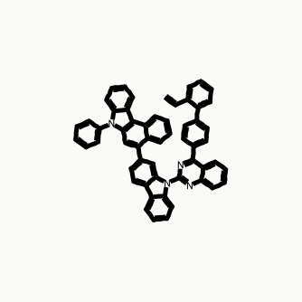 C=Cc1ccccc1-c1ccc(-c2nc(-n3c4ccccc4c4ccc(-c5cc6c(c7ccccc57)c5ccccc5n6-c5ccccc5)cc43)nc3ccccc23)cc1